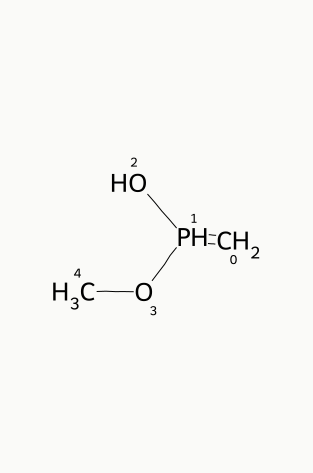 C=[PH](O)OC